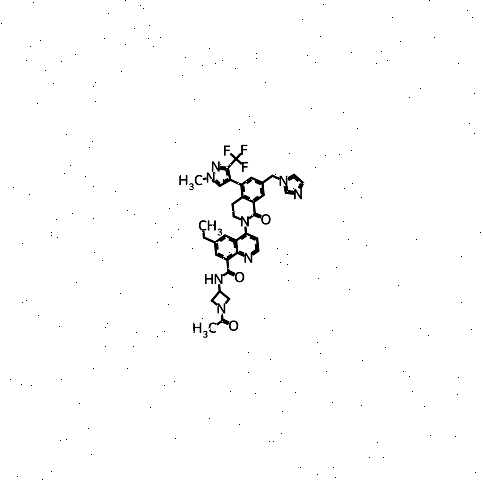 CCc1cc(C(=O)NC2CN(C(C)=O)C2)c2nccc(N3CCc4c(cc(Cn5ccnc5)cc4-c4cn(C)nc4C(F)(F)F)C3=O)c2c1